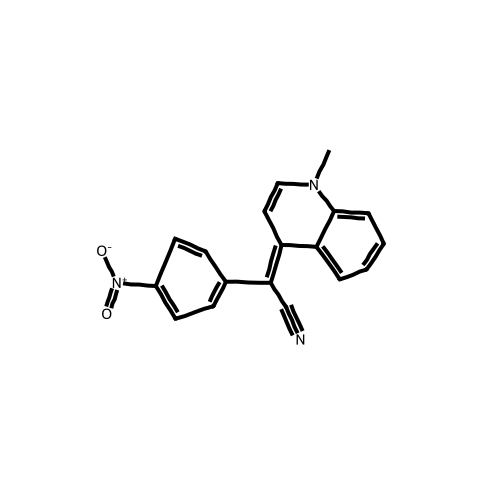 CN1C=CC(=C(C#N)c2ccc([N+](=O)[O-])cc2)c2ccccc21